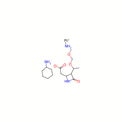 COCOC(C)C1C(=O)NC1CC(=O)[O-].NC1CCCCC1.[NH2][Pt+]